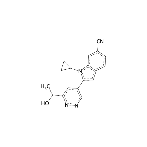 CC(O)c1cc(-c2cc3ccc(C#N)cc3n2C2CC2)cnn1